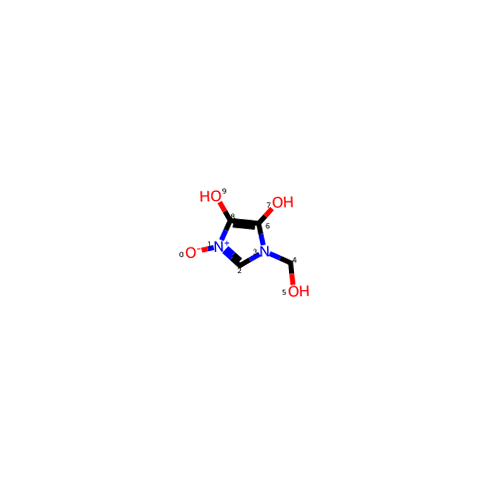 [O-][n+]1cn(CO)c(O)c1O